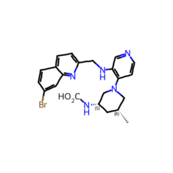 C[C@@H]1C[C@H](NC(=O)O)CN(c2ccncc2NCc2ccc3ccc(Br)cc3n2)C1